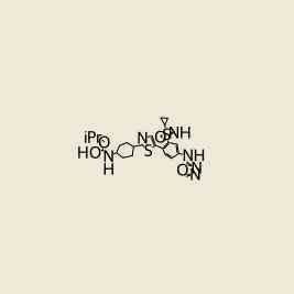 CC(C)OC(O)NC1CCC(c2ncc(-c3ccc(Nc4nnco4)cc3S(=N)(=O)C3CC3)s2)CC1